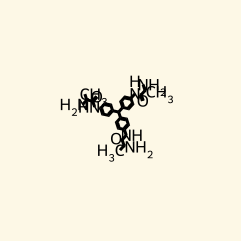 CC(N)C(=O)Nc1ccc(C(c2ccc(NC(=O)C(C)N)cc2)c2ccc(NC(=O)C(C)N)cc2)cc1